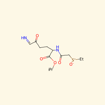 CC[S+]([O-])CC(=O)NC(CCC(=O)C=N)C(=O)OC(C)C